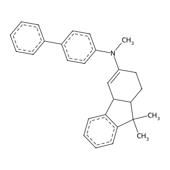 CN(C1=CC2c3ccccc3C(C)(C)C2CC1)c1ccc(-c2ccccc2)cc1